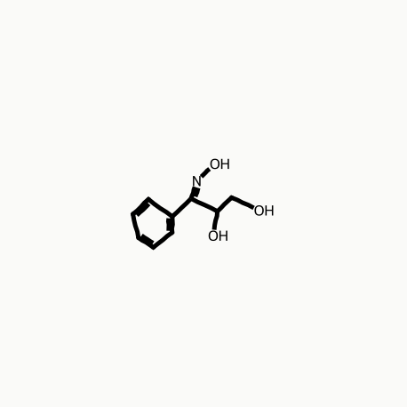 OCC(O)C(=NO)c1ccccc1